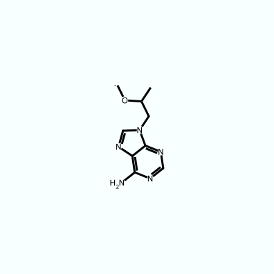 [CH2]OC(C)Cn1cnc2c(N)ncnc21